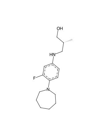 C[C@@H](CO)CNc1ccc(N2CCCCCC2)c(F)c1